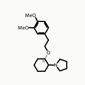 COc1ccc(CCO[C@H]2CCCCC2N2CCCC2)cc1OC